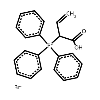 C=CC(C(=O)O)[P+](c1ccccc1)(c1ccccc1)c1ccccc1.[Br-]